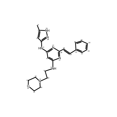 Cc1cc(Nc2cc(NCCN3CCOCC3)nc(/C=C/c3ccccc3)n2)n[nH]1